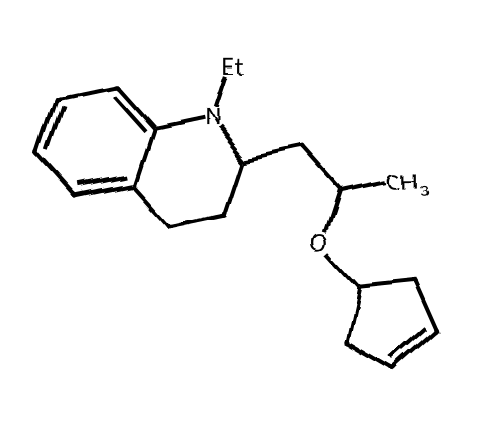 CCN1c2ccccc2CCC1CC(C)OC1CC=CC1